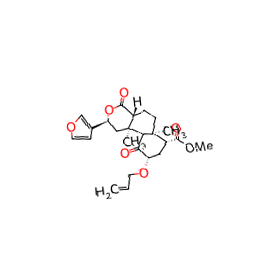 C=CCO[C@H]1C[C@@H](C(=O)OC)[C@]2(C)CC[C@H]3C(=O)O[C@H](c4ccoc4)C[C@]3(C)C2C1=O